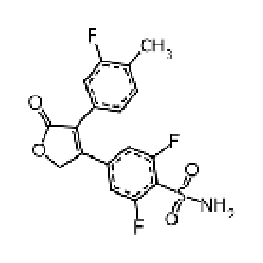 Cc1ccc(C2=C(c3cc(F)c(S(N)(=O)=O)c(F)c3)COC2=O)cc1F